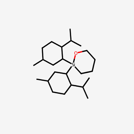 CC1CCC(C(C)C)C([Si]2(C3CC(C)CCC3C(C)C)CCCCO2)C1